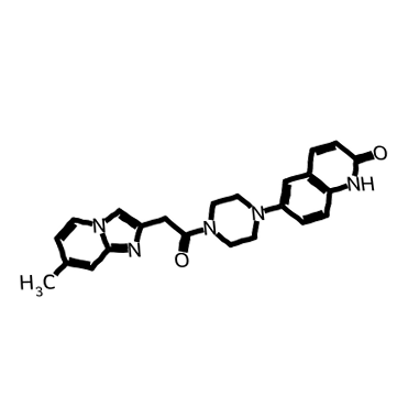 Cc1ccn2cc(CC(=O)N3CCN(c4ccc5[nH]c(=O)ccc5c4)CC3)nc2c1